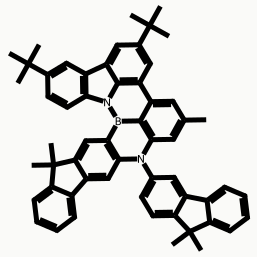 Cc1cc2c3c(c1)N(c1ccc4c(c1)-c1ccccc1C4(C)C)c1cc4c(cc1B3n1c3ccc(C(C)(C)C)cc3c3cc(C(C)(C)C)cc-2c31)C(C)(C)c1ccccc1-4